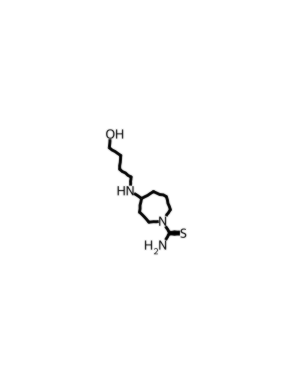 NC(=S)N1CCCC(NCCCCO)CC1